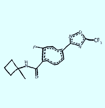 CC1(NC(=O)c2ccc(-c3noc(C(F)(F)F)n3)cc2F)CCC1